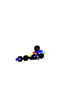 COc1ccc(F)cc1C(c1nc2ccccc2[nH]1)N1CCc2cc(-c3ccc(C4CCN(C)CC4)cc3)sc2C1=O